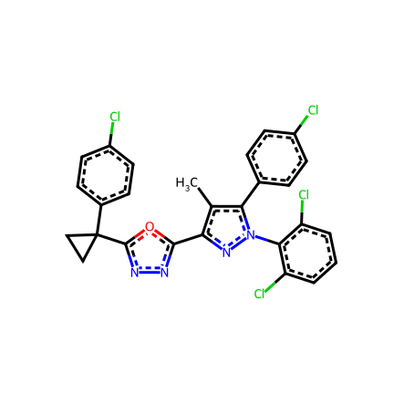 Cc1c(-c2nnc(C3(c4ccc(Cl)cc4)CC3)o2)nn(-c2c(Cl)cccc2Cl)c1-c1ccc(Cl)cc1